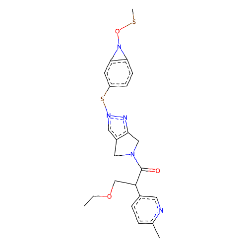 CCOCC(C(=O)N1Cc2cn(Sc3ccc4c(c3)N4OSC)nc2C1)c1ccc(C)nc1